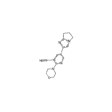 N#Cc1cc(-c2cn3c(n2)CCC3)cnc1N1CCOCC1